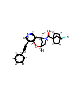 O=C(N1C[C@@H]2C[C@H]1c1cncc(C#Cc3ccccc3)c1O2)C12CCC(F)(CC1)C2